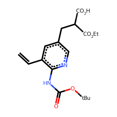 C=Cc1cc(CC(C(=O)O)C(=O)OCC)cnc1NC(=O)OC(C)(C)C